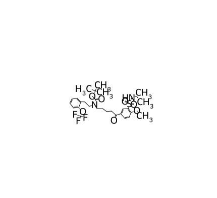 COc1ccc(C(=O)CCCCN(CCc2ccccc2OC(F)(F)F)C(=O)OC(C)(C)C)cc1S(=O)(=O)NC(C)C